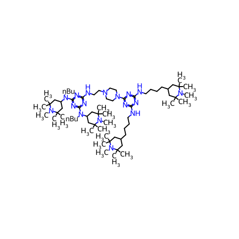 CCCCN(c1nc(NCCN2CCN(c3nc(NCCCCC4CC(C)(C)N(C)C(C)(C)C4)nc(NCCCCC4CC(C)(C)N(C)C(C)(C)C4)n3)CC2)nc(N(CCCC)C2CC(C)(C)N(C)C(C)(C)C2)n1)C1CC(C)(C)N(C)C(C)(C)C1